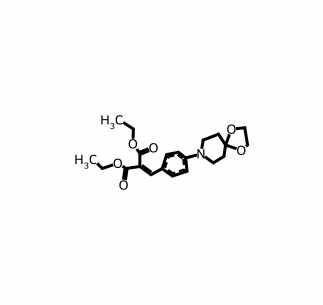 CCOC(=O)C(=Cc1ccc(N2CCC3(CC2)OCCO3)cc1)C(=O)OCC